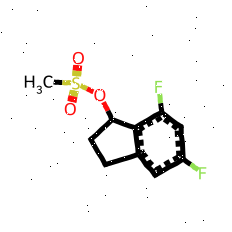 CS(=O)(=O)OC1CCc2cc(F)cc(F)c21